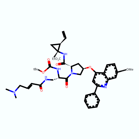 C=C[C@@H]1C[C@]1(NC(=O)[C@@H]1C[C@@H](Oc2cc(-c3ccccc3)nc3cc(OC)ccc23)CN1C(=O)[C@H](CNC(=O)/C=C/CN(C)C)NC(=O)OC(C)(C)C)C(=O)OCC